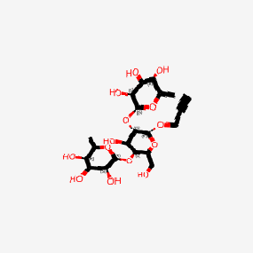 C#CCO[C@@H]1OC(CO)[C@@H](O[C@@H]2OC(C)[C@H](O)C(O)[C@@H]2O)C(O)[C@@H]1O[C@@H]1OC(C)[C@H](O)C(O)[C@@H]1O